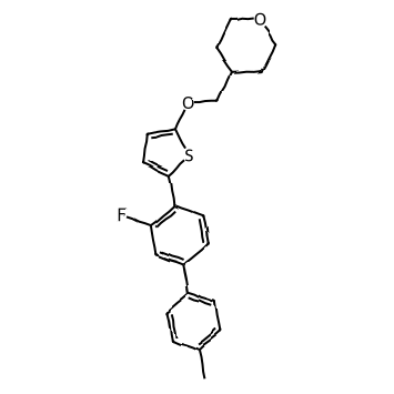 Cc1ccc(-c2ccc(-c3ccc(OCC4CCOCC4)s3)c(F)c2)cc1